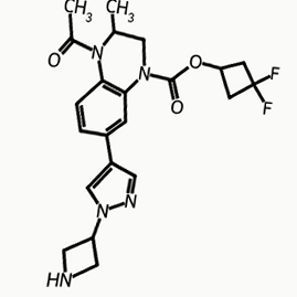 CC(=O)N1c2ccc(-c3cnn(C4CNC4)c3)cc2N(C(=O)OC2CC(F)(F)C2)CC1C